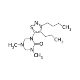 CCCCc1nsc(N2CN(C)CN(C)C2=O)c1CCC